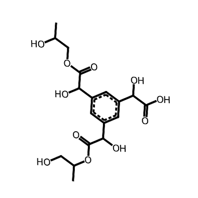 CC(O)COC(=O)C(O)c1cc(C(O)C(=O)O)cc(C(O)C(=O)OC(C)CO)c1